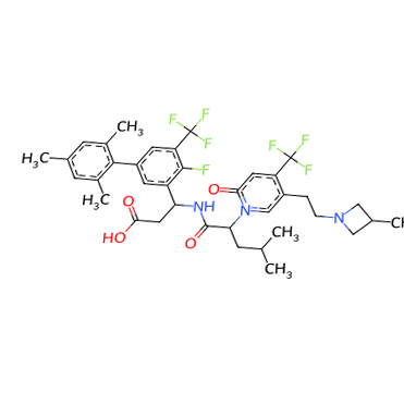 Cc1cc(C)c(-c2cc(C(CC(=O)O)NC(=O)C(CC(C)C)n3cc(CCN4CC(C)C4)c(C(F)(F)F)cc3=O)c(F)c(C(F)(F)F)c2)c(C)c1